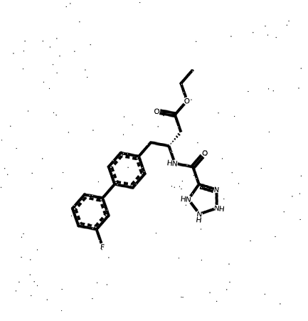 CCOC(=O)C[C@@H](Cc1ccc(-c2cccc(F)c2)cc1)NC(=O)C1=NNNN1